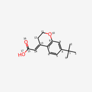 CC(C)(C)c1ccc2c(c1)OCCC2=CC(=O)O